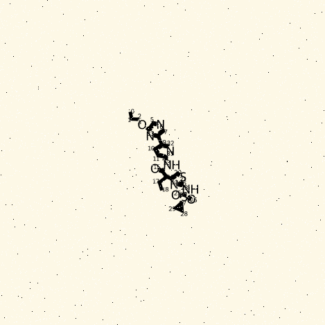 CCCOc1cncc(-c2ccc(NC(=O)C(CC)c3csc(NS(=O)(=O)C4CC4)n3)nc2)n1